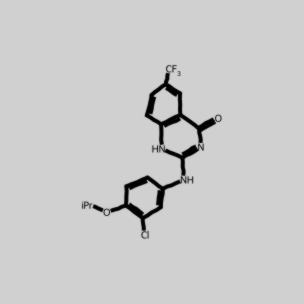 CC(C)Oc1ccc(Nc2nc(=O)c3cc(C(F)(F)F)ccc3[nH]2)cc1Cl